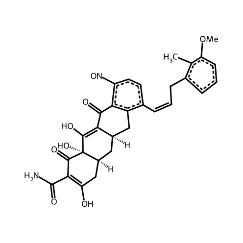 COc1cccc(C/C=C\c2ccc(N=O)c3c2C[C@H]2C[C@H]4CC(O)=C(C(N)=O)C(=O)[C@@]4(O)C(O)=C2C3=O)c1C